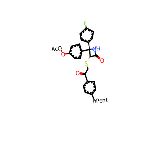 CCCCCc1ccc(C(=O)CS[C@H]2C(=O)N[C@@]2(c2ccc(F)cc2)c2ccc(OOC(C)=O)cc2)cc1